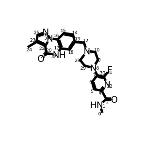 CNC(=O)c1ccc(N2CCN(Cc3ccc4c(c3)[nH]c(=O)c3c(C)cnn34)CC2)c(F)n1